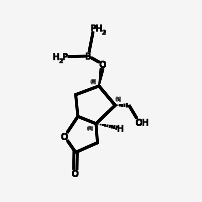 O=C1C[C@H]2C(C[C@@H](OB(P)P)[C@@H]2CO)O1